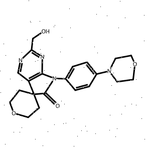 O=C1N(c2ccc(N3CCOCC3)cc2)c2nc(CO)ncc2C12CCOCC2